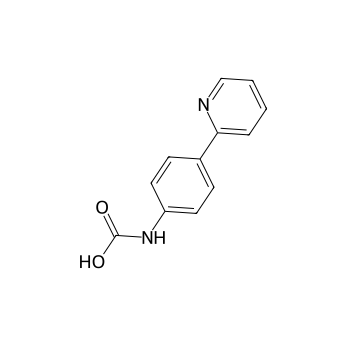 O=C(O)Nc1ccc(-c2ccccn2)cc1